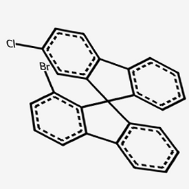 Clc1ccc2c(c1)C1(c3ccccc3-2)c2ccccc2-c2cccc(Br)c21